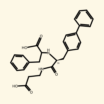 O=C(O)CCNC(=O)[C@H](Cc1ccc(-c2ccccc2)cc1)NC(Cc1ccccc1)C(=O)O